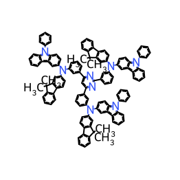 CC1(C)c2ccccc2-c2ccc(N(c3cccc(-c4cc(-c5cccc(N(c6ccc7c(c6)C(C)(C)c6ccccc6-7)c6ccc7c(c6)c6ccccc6n7-c6ccccc6)c5)nc(-c5cccc(N(c6ccc7c(c6)C(C)(C)c6ccccc6-7)c6ccc7c(c6)c6ccccc6n7-c6ccccc6)c5)n4)c3)c3ccc4c(c3)c3ccccc3n4-c3ccccc3)cc21